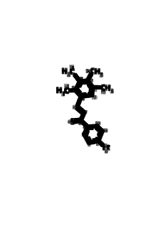 CCc1ccc(C(=S)C=Cc2cc(C)c(C)c(C)c2C)cc1